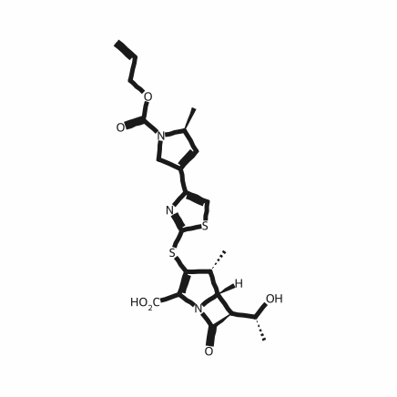 C=CCOC(=O)N1CC(c2csc(SC3=C(C(=O)O)N4C(=O)[C@H]([C@@H](C)O)[C@H]4[C@H]3C)n2)=C[C@@H]1C